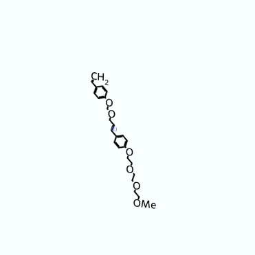 C=Cc1ccc(OCOC/C=C/c2ccc(OCCOCCOCCOC)cc2)cc1